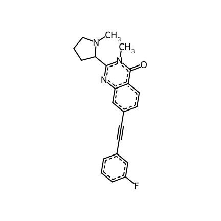 CN1CCCC1c1nc2cc(C#Cc3cccc(F)c3)ccc2c(=O)n1C